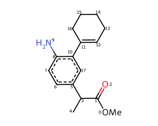 COC(=O)C(C)c1ccc(N)c(C2=CCCCC2)c1